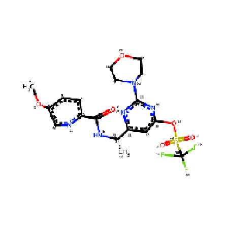 COc1ccc(C(=O)N[C@@H](C)c2cc(OS(=O)(=O)C(F)(F)F)nc(N3CCOCC3)n2)nc1